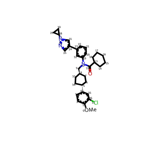 COc1ccc([C@H]2CC[C@H](CN(C(=O)C3CCCCC3)c3cccc(-c4cnn(C5CC5)c4)c3)CC2)cc1Cl